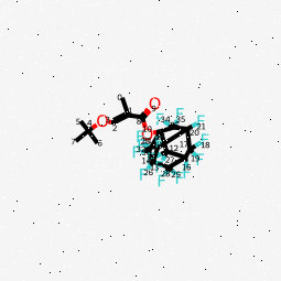 CC(=COC(C)(C)C)C(=O)OC12C(F)(F)C3(F)C(F)(F)C(F)(C(F)(F)C(F)(C3(F)F)C1(F)F)C2(F)F